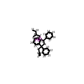 C#CCC(CC(PCC(C)CC)c1ccccc1)(c1ccccc1)c1ccccc1